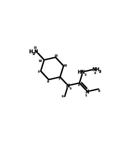 CN=C(NN)N(C)C1CCC(N)CC1